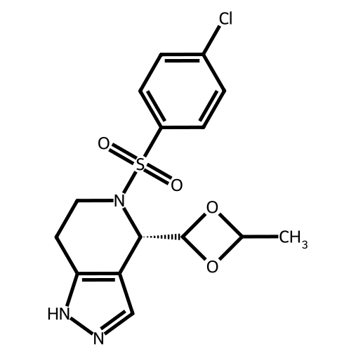 CC1OC([C@@H]2c3cn[nH]c3CCN2S(=O)(=O)c2ccc(Cl)cc2)O1